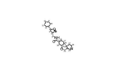 O=C(NCc1cc(-c2ccccc2)on1)c1ccc2c(c1)OCc1cnccc1-2